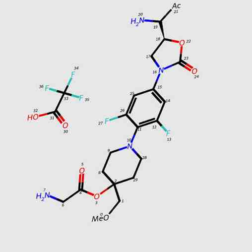 COCC1(OC(=O)CN)CCN(c2c(F)cc(N3C[C@@H](C(N)C(C)=O)OC3=O)cc2F)CC1.O=C(O)C(F)(F)F